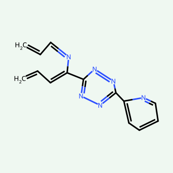 C=C/C=N\C(=C/C=C)c1nnc(-c2ccccn2)nn1